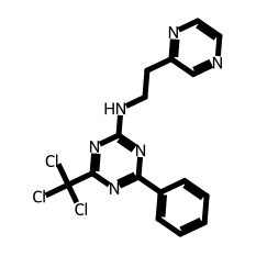 ClC(Cl)(Cl)c1nc(NCCc2cnccn2)nc(-c2ccccc2)n1